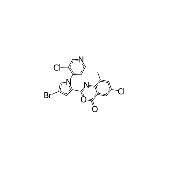 Cc1cc(Cl)cc2c(=O)oc(-c3cc(Br)cn3-c3ccncc3Cl)nc12